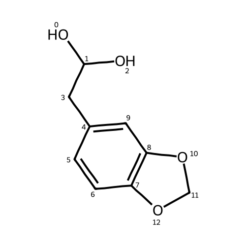 OC(O)Cc1ccc2c(c1)OCO2